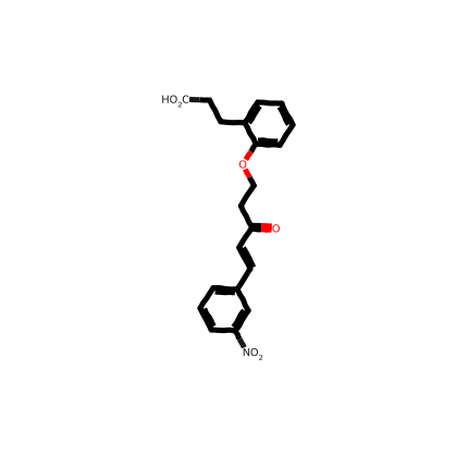 O=C(O)CCc1ccccc1OCCC(=O)C=Cc1cccc([N+](=O)[O-])c1